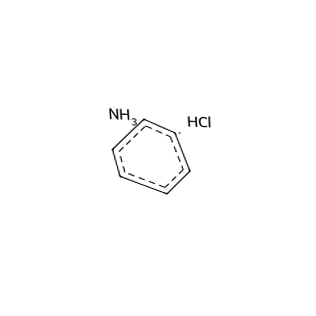 Cl.N.[c]1ccccc1